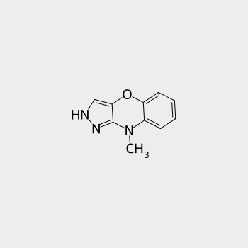 CN1c2ccccc2Oc2c[nH]nc21